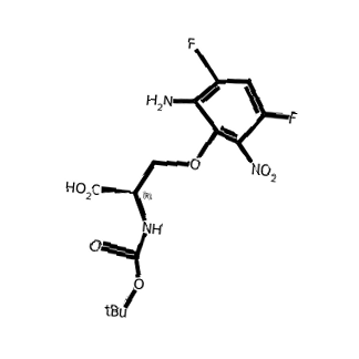 CC(C)(C)OC(=O)N[C@H](COc1c(N)c(F)cc(F)c1[N+](=O)[O-])C(=O)O